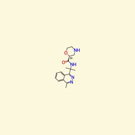 Cc1nnc(C(C)(C)NC(=O)[C@@H]2CNCCO2)c2ccccc12